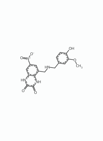 COc1cc(CNCc2cc([N+](=O)[O-])cc3[nH]c(=O)c(=O)[nH]c23)ccc1O